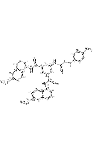 Cc1ccc(OCC(=O)Nc2cc(C(=O)Nc3cccc4cc(S(=O)(=O)O)ccc34)cc(C(=O)Nc3cccc4cc(S(=O)(=O)O)ccc34)c2)cc1